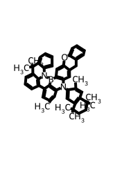 Cc1cc2c3c(c1)N(c1cc4c(cc1C)C(C)(C)CCC4(C)C)c1cc4c(cc1B3N1c3ccccc3C(C)(C)c3cccc-2c31)Oc1ccccc1C4